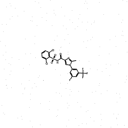 Cc1nc(C(=O)NS(=O)(=O)c2c(Cl)cccc2Cl)cn1-c1cc(F)cc(C(F)(F)F)c1